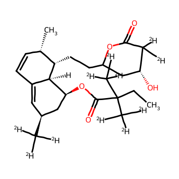 [2H]C([2H])([2H])[C@H]1C=C2C=C[C@H](C)[C@H](CCC3C[C@@H](O)C([2H])([2H])C(=O)O3)[C@H]2[C@@H](OC(=O)C(CC)(C([2H])([2H])[2H])C([2H])([2H])[2H])C1